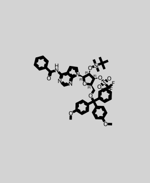 COc1ccc(C(OC[C@H]2O[C@@H](n3ccc4c(NC(=O)c5ccccc5)ncnc43)[C@H](O[Si](C)(C)C(C)(C)C)[C@@H]2OS(=O)(=O)C(F)(F)F)(c2ccccc2)c2ccc(OC)cc2)cc1